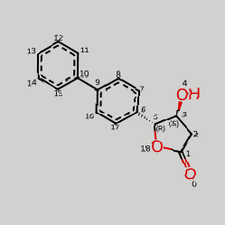 O=C1C[C@H](O)[C@@H](c2ccc(-c3ccccc3)cc2)O1